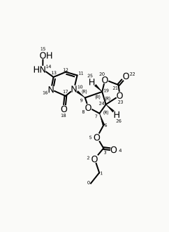 CCOC(=O)OC[C@H]1O[C@@H](n2ccc(NO)nc2=O)[C@@H]2OC(=O)O[C@@H]21